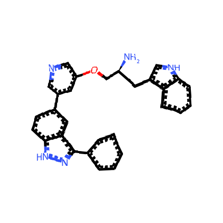 N[C@H](COc1cncc(-c2ccc3[nH]nc(-c4ccccc4)c3c2)c1)Cc1c[nH]c2ccccc12